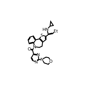 CC/C=C(\NC1CC1)c1cc2c(s1)-c1ccccc1N(C(=O)c1ccnc(N3CCOCC3)n1)CC2